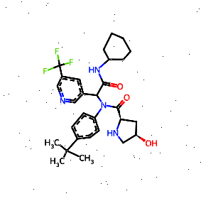 CC(C)(C)c1ccc(N(C(=O)[C@H]2C[C@@H](O)CN2)C(C(=O)NC2CCCCC2)c2cncc(C(F)(F)F)c2)cc1